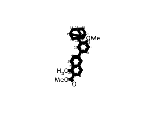 COC(=O)c1ccc2cc(-c3ccc(OC)c(C45CC6CC(CC(C6)C4)C5)c3)ccc2c1C